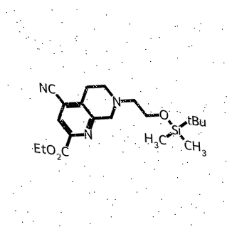 CCOC(=O)c1cc(C#N)c2c(n1)CN(CCO[Si](C)(C)C(C)(C)C)CC2